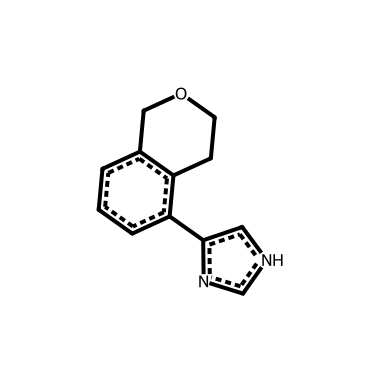 c1cc2c(c(-c3c[nH]cn3)c1)CCOC2